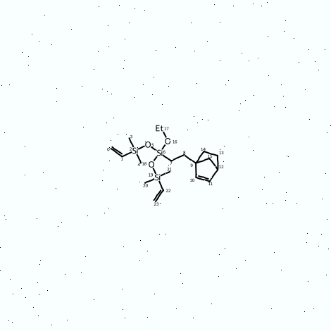 C=C[Si](C)(C)O[Si](CCC12C=CC(CC1)C2)(OCC)O[Si](C)(C)C=C